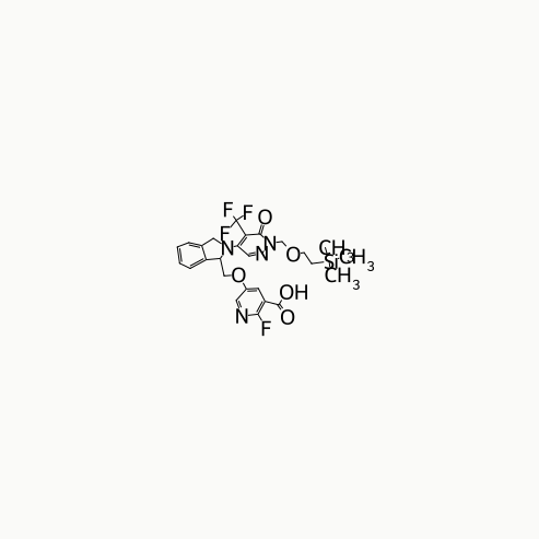 C[Si](C)(C)CCOCn1ncc(N2Cc3ccccc3C2COc2cnc(F)c(C(=O)O)c2)c(C(F)(F)F)c1=O